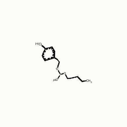 CCCCOP(O)OCc1ccc(O)cc1